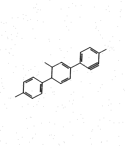 CCCc1ccc(C2C=CC(c3c#cc(OC)cc3)=CC2F)cc1